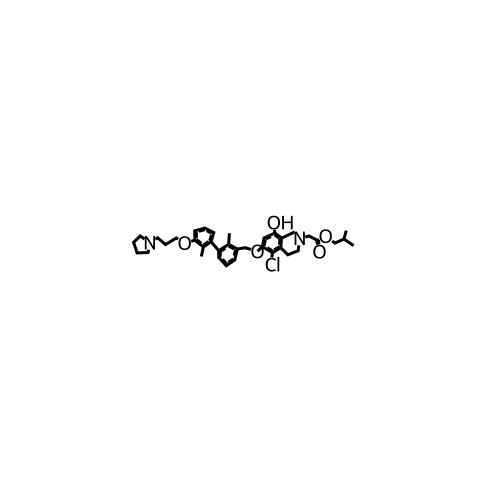 Cc1c(COc2cc(O)c3c(c2Cl)CCN(CC(=O)OCC(C)C)C3)cccc1-c1cccc(OCCCN2CCCC2)c1C